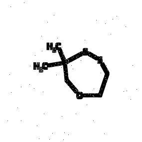 CC1(C)COCCSS1